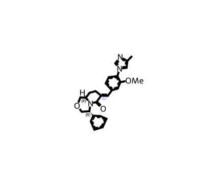 COc1cc(/C=C2\CC[C@@H]3COC[C@@H](c4ccccc4)N3C2=O)ccc1-n1cnc(C)c1